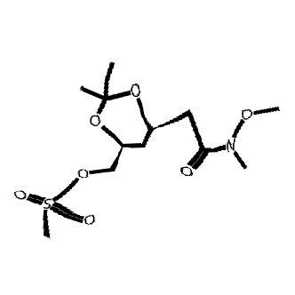 CON(C)C(=O)C[C@H]1C[C@@H](COS(C)(=O)=O)OC(C)(C)O1